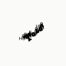 O=C1CSc2ccc(N3C[C@@H](CN4CCN(c5nc6c(cc5F)c(=O)c(C(=O)O)cn6C5CC5)CC4)OC3=O)cc2N1